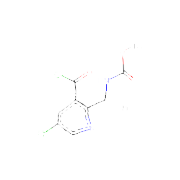 CC(C)[C@@H](NC(=O)OC(C)(C)C)c1ncc(Cl)cc1C(=O)Cl